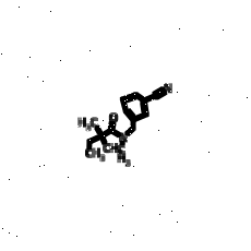 CCC(C)(C)C(=O)N(C)Cc1cccc(C#N)c1